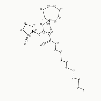 CCCCCCCCCCCC(=O)OC(CN1CCCC1=O)C[N+]1(C)CCCCCCC1